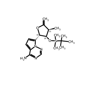 C=C1O[C@@H](c2ccc3c(N)ncnn23)[C@H](O[Si](C)(C)C(C)(C)C)[C@@H]1C